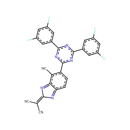 N#CC(C#N)=C1N=c2ccc(-c3nc(-c4cc(F)cc(F)c4)nc(-c4cc(F)cc(F)c4)n3)c(C#N)c2=N1